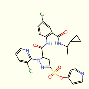 CC(NC(=O)c1cc(Cl)ccc1NC(=O)C1CC(S(=O)(=O)Oc2ccncc2)=NN1c1ncccc1Cl)C1CC1